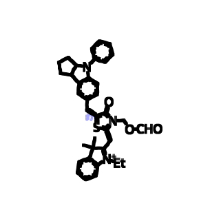 CC[N+]1=C(C=c2s/c(=C/c3ccc4c(c3)C3CCCC3N4c3ccccc3)c(=O)n2COC=O)C(C)(C)c2ccccc21